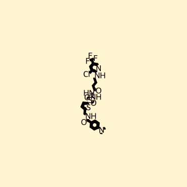 CN(C)c1ccc(C(=O)NCc2ccc(S(=O)(=O)NNC(=O)CCCNc3ncc(C(F)(F)F)cc3Cl)s2)cc1